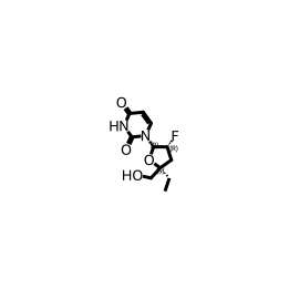 CC[C@@]1(CO)C[C@@H](F)[C@H](n2ccc(=O)[nH]c2=O)O1